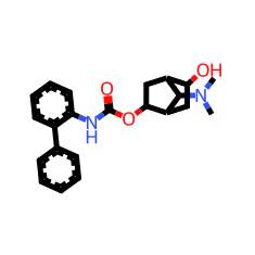 CN(C)C1C2CC(OC(=O)Nc3ccccc3-c3ccccc3)C1CC2O